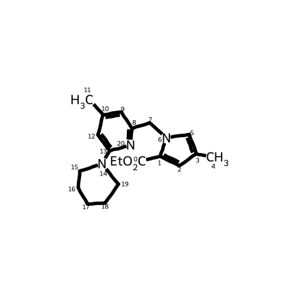 CCOC(=O)c1cc(C)cn1Cc1cc(C)cc(N2CCCCC2)n1